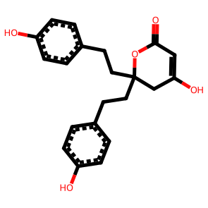 O=C1C=C(O)CC(CCc2ccc(O)cc2)(CCc2ccc(O)cc2)O1